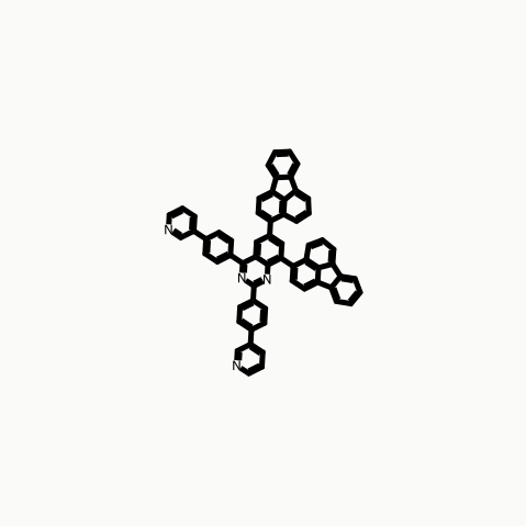 c1cncc(-c2ccc(-c3nc(-c4ccc(-c5cccnc5)cc4)c4cc(-c5ccc6c7c(cccc57)-c5ccccc5-6)cc(-c5ccc6c7c(cccc57)-c5ccccc5-6)c4n3)cc2)c1